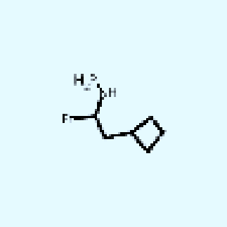 CCC(CC1CCC1)NP